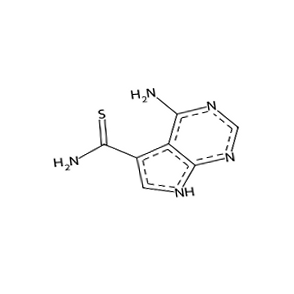 NC(=S)c1c[nH]c2ncnc(N)c12